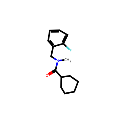 CN(Cc1ccccc1F)C(=O)C1CCCCC1